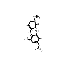 CCc1cc(Cl)c(Oc2ccc(N)cc2)c(Cl)c1